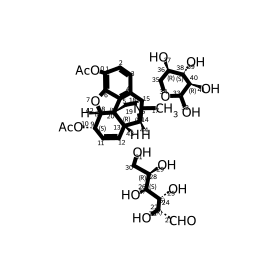 CC(=O)Oc1ccc2c3c1O[C@H]1[C@@H](OC(C)=O)C=C[C@H]4[C@@H](C2)N(C)CC[C@@]341.O=C[C@H](O)[C@@H](O)[C@@H](O)[C@H](O)CO.OC1OC[C@@H](O)[C@H](O)[C@H]1O